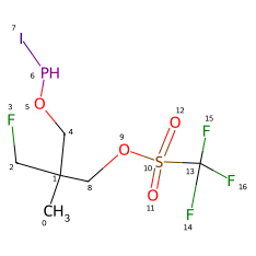 CC(CF)(COPI)COS(=O)(=O)C(F)(F)F